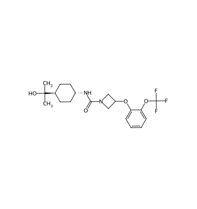 CC(C)(O)[C@H]1CC[C@H](NC(=O)N2CC(Oc3ccccc3OC(F)(F)F)C2)CC1